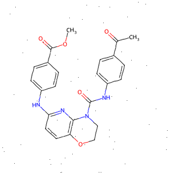 COC(=O)c1ccc(Nc2ccc3c(n2)N(C(=O)Nc2ccc(C(C)=O)cc2)CCO3)cc1